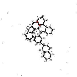 c1ccc(-c2ccccc2N(c2cccc(-c3ccc4ccccc4c3)c2)c2cccc3oc4ccccc4c23)cc1